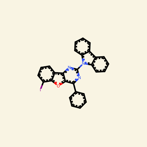 Ic1cccc2c1oc1c(-c3ccccc3)nc(-n3c4ccccc4c4ccccc43)nc12